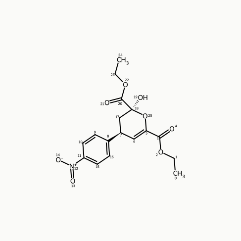 CCOC(=O)C1=C[C@@H](c2ccc([N+](=O)[O-])cc2)C[C@@](O)(C(=O)OCC)O1